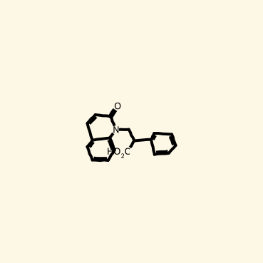 O=C(O)C(Cn1c(=O)ccc2ccccc21)c1ccccc1